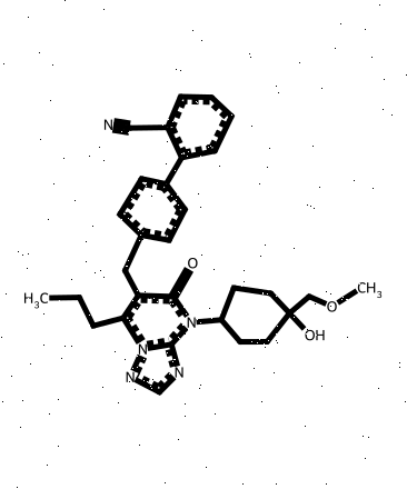 CCCc1c(Cc2ccc(-c3ccccc3C#N)cc2)c(=O)n(C2CCC(O)(COC)CC2)c2ncnn12